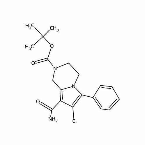 CC(C)(C)OC(=O)N1CCn2c(c(C(N)=O)c(Cl)c2-c2ccccc2)C1